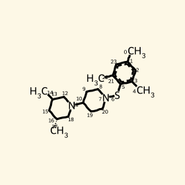 Cc1cc(C)c(SN2CCC(N3CC(C)C[C@@H](C)C3)CC2)c(C)c1